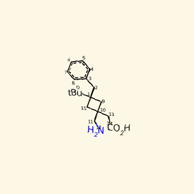 CC(C)(C)C1(Cc2ccccc2)CC(CN)(CC(=O)O)C1